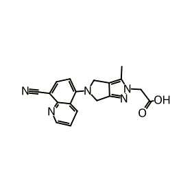 Cc1c2c(nn1CC(=O)O)CN(c1ccc(C#N)c3ncccc13)C2